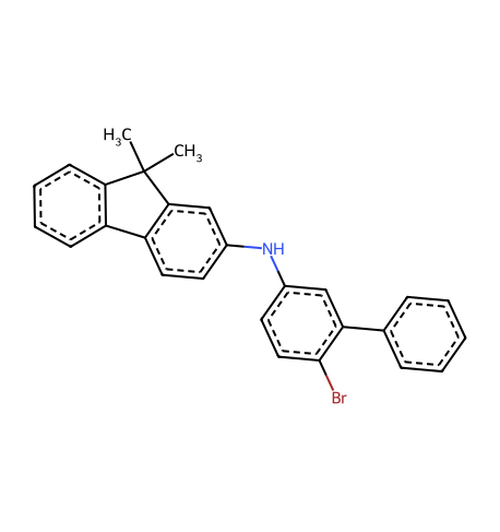 CC1(C)c2ccccc2-c2ccc(Nc3ccc(Br)c(-c4ccccc4)c3)cc21